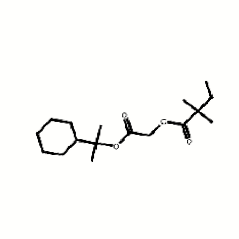 CCC(C)(C)C(=O)OCC(=O)OC(C)(C)C1CCCCC1